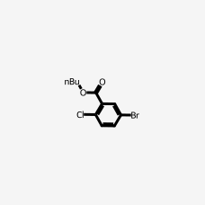 CCCCOC(=O)c1cc(Br)ccc1Cl